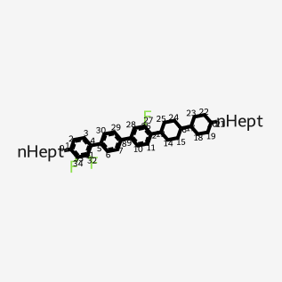 CCCCCCCc1ccc(-c2ccc(-c3ccc(C4CCC(C5CCC(CCCCCCC)CC5)CC4)c(F)c3)cc2)c(F)c1F